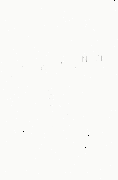 CN1CCC(COc2cccc(-c3cccc4c3CCC4)c2Cl)C1